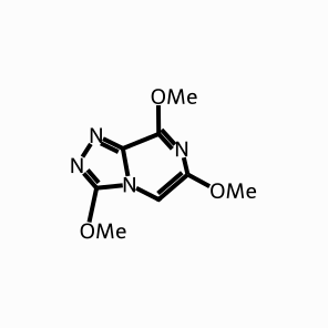 COc1cn2c(OC)nnc2c(OC)n1